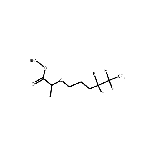 CCCOC(=O)C(C)SCCCC(F)(F)C(F)(F)C(F)(F)F